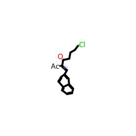 CC(=O)/C(=C\c1ccc2ccccc2c1)C(=O)CCCCCl